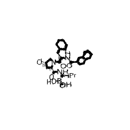 CC(C)[C@H](NC(=O)[C@@H]1C[C@H](Cl)CN1C(=O)[C@@H](CC1CCCCC1)NC(=O)c1ccc2ccccc2c1)B(O)O